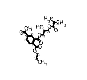 C=CCOC(=O)c1ccc(C(=O)O)cc1C(=O)OCC(O)COC(=O)C(=C)C